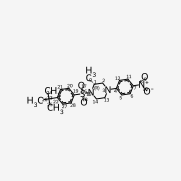 C[C@@H]1CN(c2ccc([N+](=O)[O-])cc2)CCN1S(=O)(=O)c1ccc(C(C)(C)C)cc1